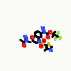 CC(=O)NC[C@H]1CN(S(=O)(=O)c2scnc2C)c2cc(NC(=O)OC(C)(C)C(F)(F)F)ccc2O1